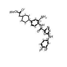 COC(=O)CC1CCC(c2ccc(NC(=O)c3nnc(Nc4ccc(F)c(F)c4)o3)c(N)c2)CC1